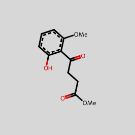 COC(=O)CCC(=O)c1c(O)cccc1OC